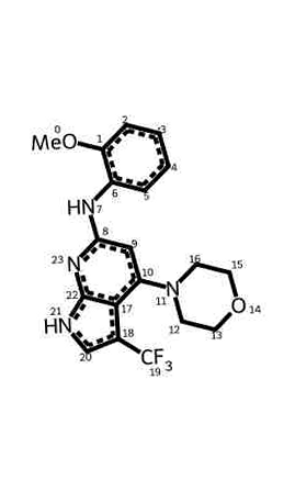 COc1c[c]ccc1Nc1cc(N2CCOCC2)c2c(C(F)(F)F)c[nH]c2n1